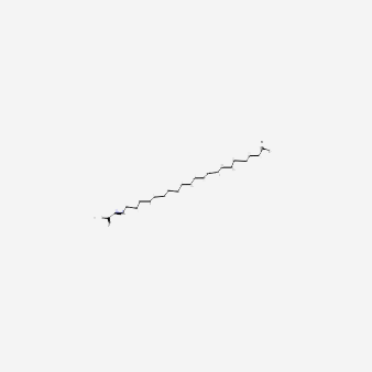 O=C(O)/C=C/CCCCCCCCCCCCCCCCCCCCC(=O)O